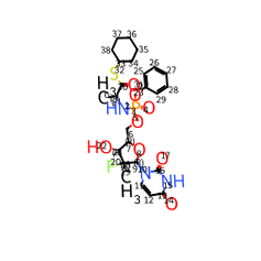 C[C@H](NP(=O)(OC[C@H]1O[C@@H](n2ccc(=O)[nH]c2=O)[C@](C)(F)[C@@H]1O)Oc1ccccc1)C(=O)SC1CCCCC1